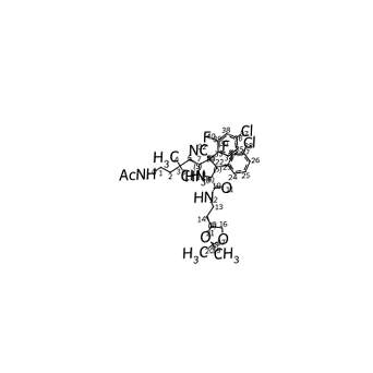 CC(=O)NCCC(C)(C)C[C@@H]1N[C@@H](C(=O)NCC[C@H]2COC(C)(C)O2)[C@H](c2cccc(Cl)c2F)[C@@]1(C#N)c1ccc(Cl)cc1F